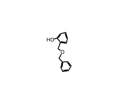 Oc1ccccc1COCc1ccccc1